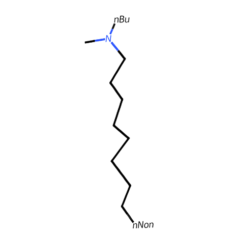 CCCCCCCCCCCCCCCCCN(C)CCCC